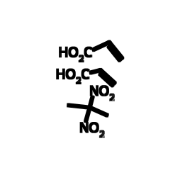 C=CC(=O)O.C=CC(=O)O.CC(C)([N+](=O)[O-])[N+](=O)[O-]